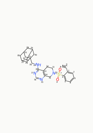 N#Cc1ccccc1S(=O)(=O)N1CCc2c(ncnc2NCC23CC4CC(CC(C4)C2)C3)C1